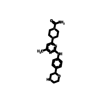 Cc1cc(N2CCN(C(N)=O)CC2)nc(Nc2ccc(C3CNCCO3)cc2)n1